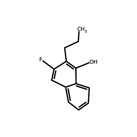 CCCc1c(F)cc2ccccc2c1O